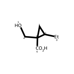 CCC1CC1(CO)C(=O)O